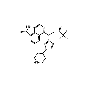 CC(c1cnn(C2CCNCC2)c1)c1ccc2c3c(cccc13)C(=O)N2.O=CC(F)(F)F